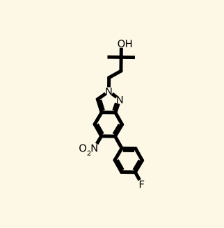 CC(C)(O)CCn1cc2cc([N+](=O)[O-])c(-c3ccc(F)cc3)cc2n1